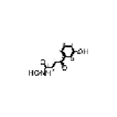 O=C(CCC(=O)c1cccc(O)c1)NO